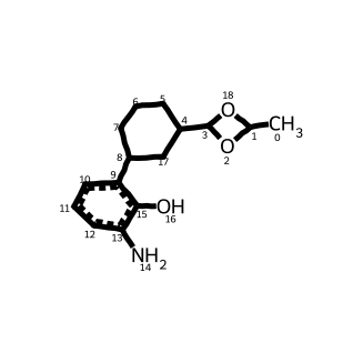 CC1OC(C2CCCC(c3cccc(N)c3O)C2)O1